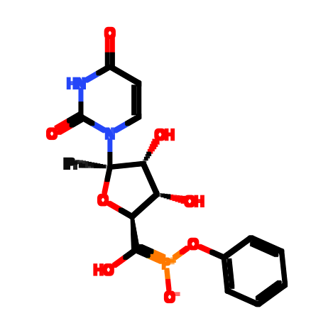 CC(C)[C@@]1(n2ccc(=O)[nH]c2=O)O[C@H](C(O)=[P+]([O-])Oc2ccccc2)[C@@H](O)[C@H]1O